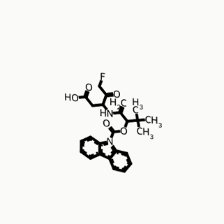 C=C(NC(CC(=O)O)C(=O)CF)C(OC(=O)n1c2ccccc2c2ccccc21)C(C)(C)C